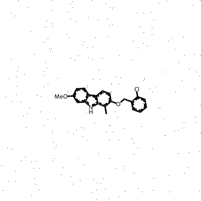 COc1ccc2c(c1)[nH]c1c(C)c(OCc3ccccc3Cl)ccc12